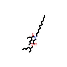 CCCCCCCCCCCCN(CCC(=O)OCC(CC)CCCC)C(=O)C(CC)CCCC